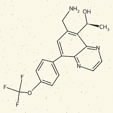 C[C@H](O)c1c(CN)cc(-c2ccc(OC(F)(F)F)cc2)c2nccnc12